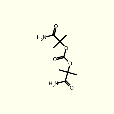 CC(C)(OC(=O)OC(C)(C)C(N)=O)C(N)=O